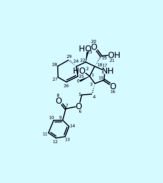 C[C@]1(O)[C@@H](CCOC(=O)c2ccccc2)C(=O)N[C@]1(C(=O)O)[C@H](O)[C@@H]1C=CCCC1